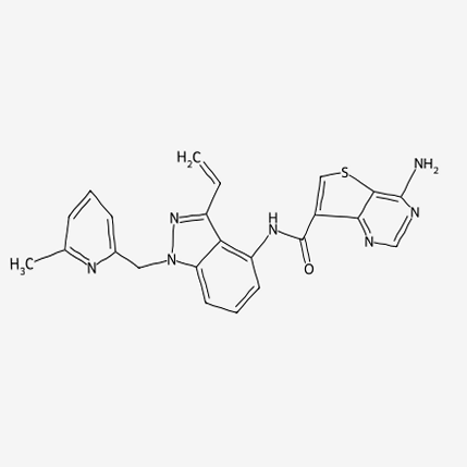 C=Cc1nn(Cc2cccc(C)n2)c2cccc(NC(=O)c3csc4c(N)ncnc34)c12